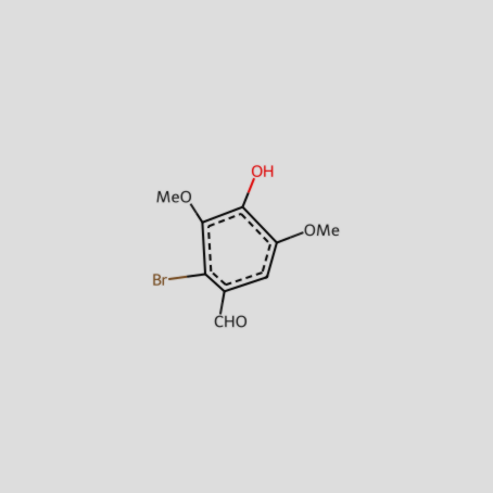 COc1cc(C=O)c(Br)c(OC)c1O